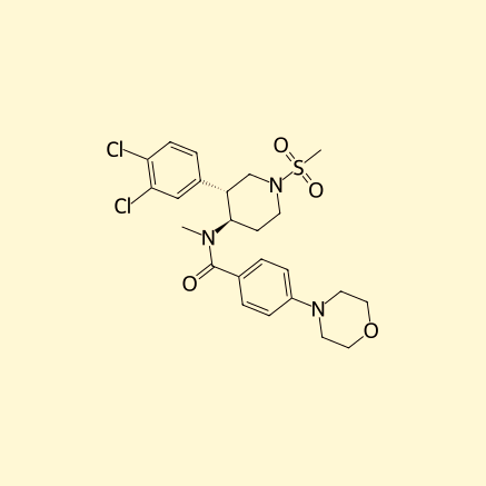 CN(C(=O)c1ccc(N2CCOCC2)cc1)[C@@H]1CCN(S(C)(=O)=O)C[C@H]1c1ccc(Cl)c(Cl)c1